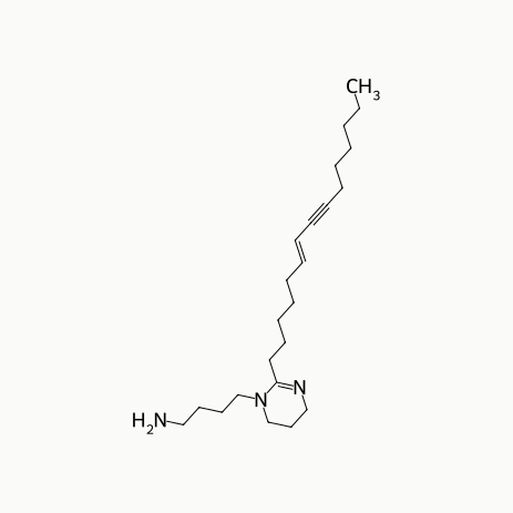 CCCCCCC#CC=CCCCCCC1=NCCCN1CCCCN